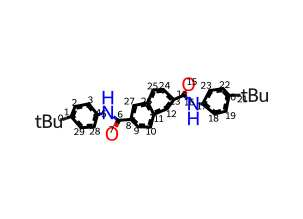 CC(C)(C)c1ccc(NC(=O)c2ccc3cc(C(=O)Nc4ccc(C(C)(C)C)cc4)ccc3c2)cc1